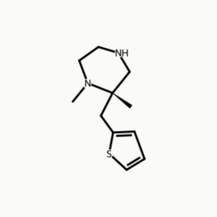 CN1CCNC[C@]1(C)Cc1cccs1